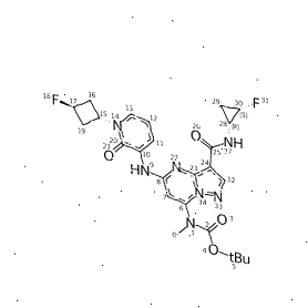 CN(C(=O)OC(C)(C)C)c1cc(Nc2cccn([C@H]3C[C@H](F)C3)c2=O)nc2c(C(=O)N[C@@H]3C[C@@H]3F)cnn12